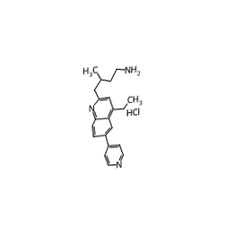 CCc1cc(CC(C)CCN)nc2ccc(-c3ccncc3)cc12.Cl